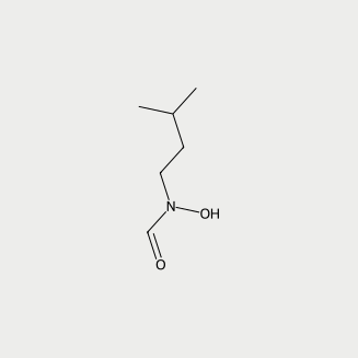 CC(C)CCN(O)C=O